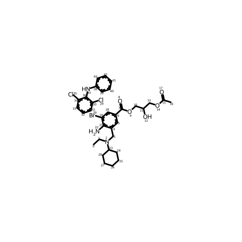 CCN(Cc1cc(C(=O)OCC(O)COC(C)=O)cc(Br)c1N)C1CCCCC1.Clc1cccc(Cl)c1Nc1ccccc1